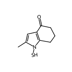 Cc1cc2c(n1S)CCCC2=O